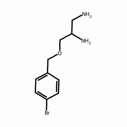 NCC(N)COCc1ccc(Br)cc1